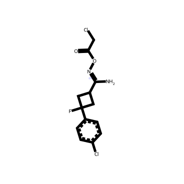 N/C(=N\OC(=O)CCl)C1CC(F)(c2ccc(Cl)cc2)C1